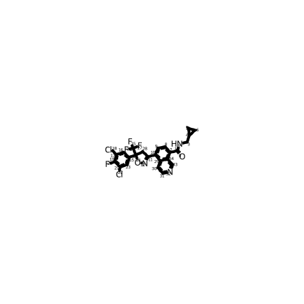 O=C(NCC1CC1)c1ccc(C2=NOC(c3cc(Cl)c(F)c(Cl)c3)(C(F)(F)F)C2)c2ccncc12